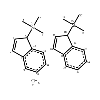 C.C[Si](C)(C)C1C=Cc2ccccc21.C[Si](C)(C)C1C=Cc2ccccc21